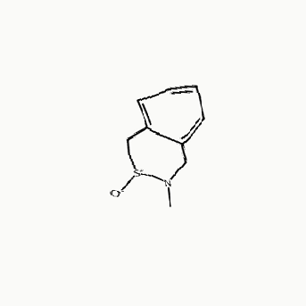 CN1Cc2ccccc2C[S+]1[O-]